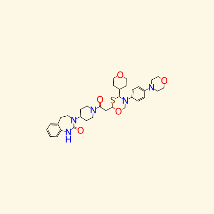 O=C(CC1OCN(c2ccc(N3CCOCC3)cc2)C(C2CCOCC2)S1)N1CCC(N2CCc3ccccc3NC2=O)CC1